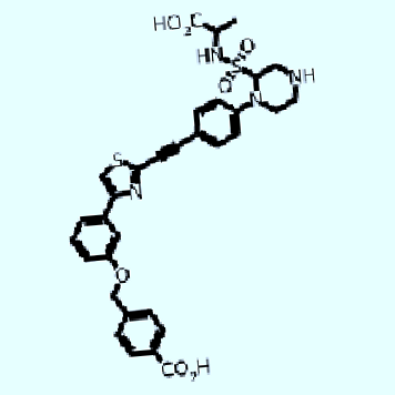 CC(NS(=O)(=O)C1CNCCN1c1ccc(C#Cc2nc(-c3cccc(OCc4ccc(C(=O)O)cc4)c3)cs2)cc1)C(=O)O